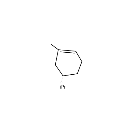 CC1=CCC[C@H](C(C)C)C1